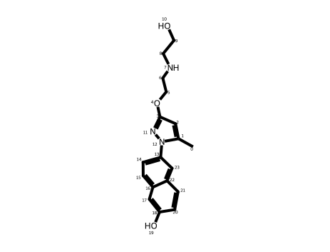 Cc1cc(OCCNCCO)nn1-c1ccc2cc(O)ccc2c1